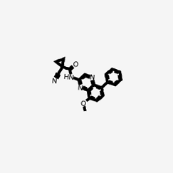 COc1ccc(-c2ccccc2)c2ncc(NC(=O)C3(C#N)CC3)nc12